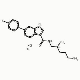 Cl.Cl.NCCC[C@H](N)CNC(=O)c1c[nH]c2cc(-c3ccc(F)cc3)ccc12